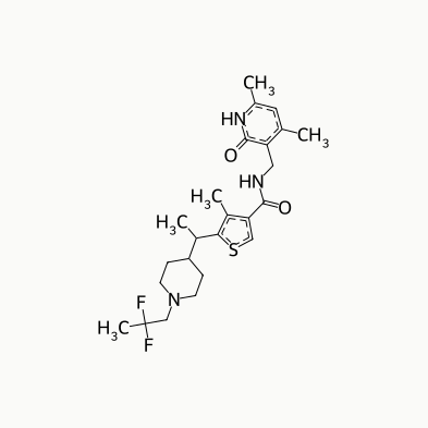 Cc1cc(C)c(CNC(=O)c2csc(C(C)C3CCN(CC(C)(F)F)CC3)c2C)c(=O)[nH]1